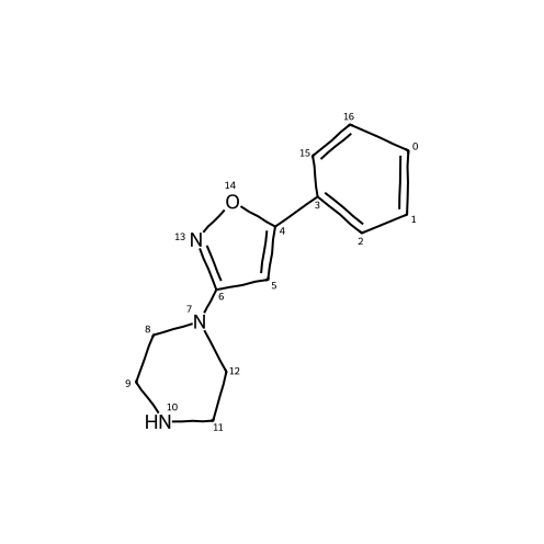 c1ccc(-c2cc(N3CCNCC3)no2)cc1